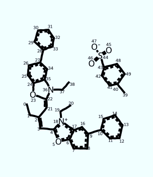 CCC(=Cc1oc2ccc(-c3ccccc3)cc2[n+]1CC)C=C1Oc2ccc(-c3ccccc3)cc2N1CC.Cc1ccc(S(=O)(=O)[O-])cc1